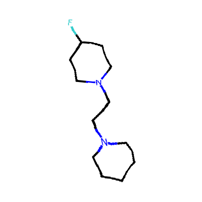 FC1CCN(CCN2CCCCC2)CC1